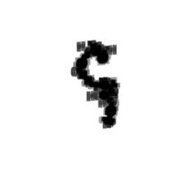 Cc1ncsc1-c1ccc([C@H](C)NC(=O)[C@@H]2C[C@@H](O)CN2C(=O)[C@@H](c2cc(OCCN3CC(C4CN(C(=O)c5ccc(CCOc6cc(-c7ccccc7O)nnc6N)cc5)C4)C3)no2)C(C)C)cc1